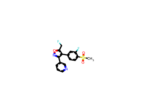 CS(=O)(=O)c1ccc(-c2c(-c3cccnc3)noc2CF)cc1F